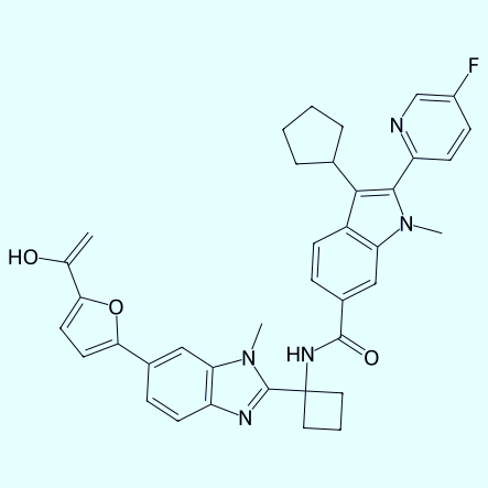 C=C(O)c1ccc(-c2ccc3nc(C4(NC(=O)c5ccc6c(C7CCCC7)c(-c7ccc(F)cn7)n(C)c6c5)CCC4)n(C)c3c2)o1